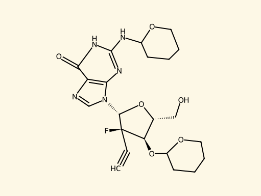 C#C[C@@]1(F)[C@H](OC2CCCCO2)[C@@H](CO)O[C@H]1n1cnc2c(=O)[nH]c(NC3CCCCO3)nc21